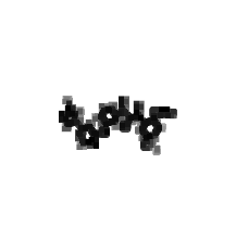 COc1ccc(C(F)(F)F)cc1NC(=O)Nc1cccc(Oc2cc(-c3cnn(C)c3)ncn2)c1